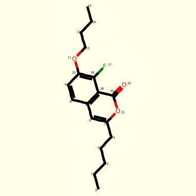 CCCCCc1cc2ccc(OCCCC)c(F)c2c(=O)o1